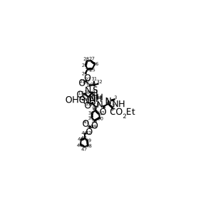 CCOC(=O)c1[nH]cnc1C(=O)NC(C(=O)N[C@]1(NC=O)C(=O)N2[C@@H](C(=O)OCc3ccccc3)C(C)(C)S[C@@H]21)c1ccc(OC(=O)OCc2ccccc2)cc1